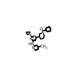 Cc1ccnc(Nc2cc(C3CCCN(C(=O)c4ccccc4)C3)nc(N3CCC3)n2)c1